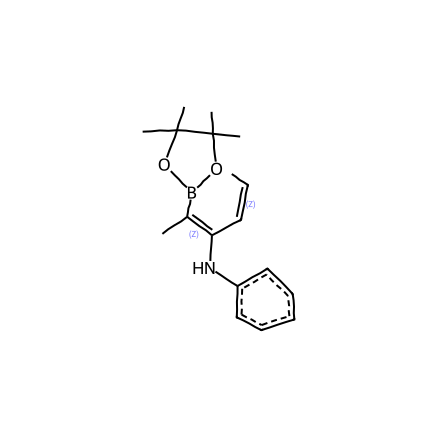 C/C=C\C(Nc1ccccc1)=C(\C)B1OC(C)(C)C(C)(C)O1